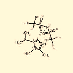 Cc1[nH]cc(C(C)C)[n+]1C.O=S(=O)([N-]S(=O)(=O)C(F)(F)F)C(F)(F)F